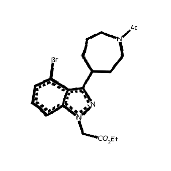 CCOC(=O)Cn1nc(C2CCCN(C(C)=O)CC2)c2c(Br)cccc21